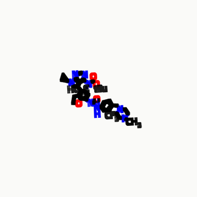 CN1CCN(Cc2ccc(NC(=O)Nc3ccc(-c4cn(C5CC5)c5ncnc(N(C(=O)O)C(=O)OC(C)(C)C)c45)c4c3OCC4)cc2C(F)(F)F)CC1